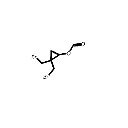 O=COC1CC1(CBr)CBr